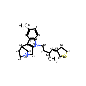 Cc1ccc2c(c1)c1c(n2CCC(C)/C=C2/CCSC2)CN2CCC1C2